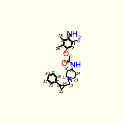 Cc1cc(OCC(=O)NC2CCN(CC3CC3c3ccccc3)CC2)c(C)c(C)c1N